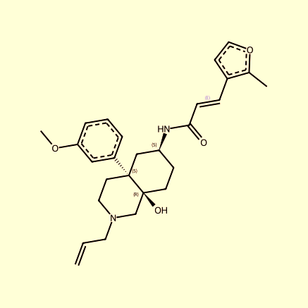 C=CCN1CC[C@@]2(c3cccc(OC)c3)C[C@@H](NC(=O)/C=C/c3ccoc3C)CC[C@]2(O)C1